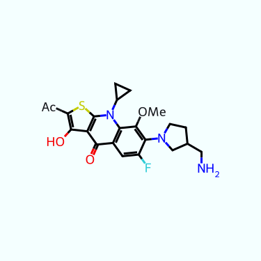 COc1c(N2CCC(CN)C2)c(F)cc2c(=O)c3c(O)c(C(C)=O)sc3n(C3CC3)c12